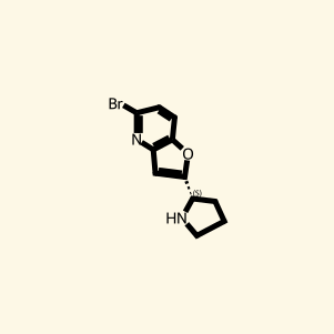 Brc1ccc2oc([C@@H]3CCCN3)cc2n1